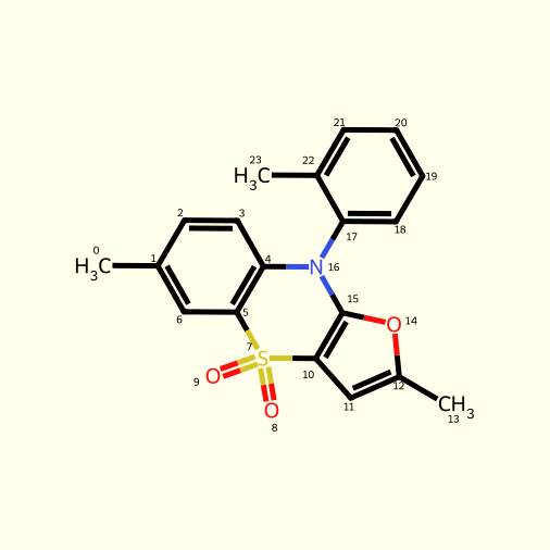 Cc1ccc2c(c1)S(=O)(=O)c1cc(C)oc1N2c1ccccc1C